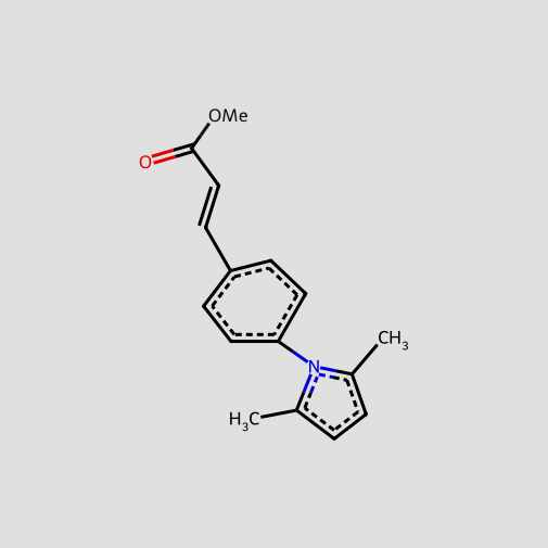 COC(=O)C=Cc1ccc(-n2c(C)ccc2C)cc1